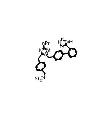 CCCc1nc(Cc2ccc(CN)cc2)n(Cc2ccc(-c3ccccc3-c3nnn[nH]3)cc2)n1